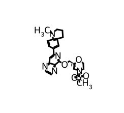 CN1CCCc2cc(-c3cc4nccnc4c(OC[C@@H]4CN(S(C)(=O)=O)CCO4)n3)ccc21